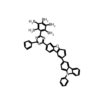 Bc1c(B)c(B)c(-c2nc(-c3ccccc3)nc(-c3ccc4c(c3)oc3ccc(-c5ccc6c(c5)c5ccccc5n6-c5ccccc5)cc34)n2)c(B)c1B